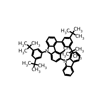 CCc1c(-n2c3ccccc3c3ccccc32)ccc2c1c1c(-c3cc(C(C)(C)C)cc(C(C)(C)C)c3)cccc1n2-c1cc(C(C)(C)C)cc(C(C)(C)C)c1